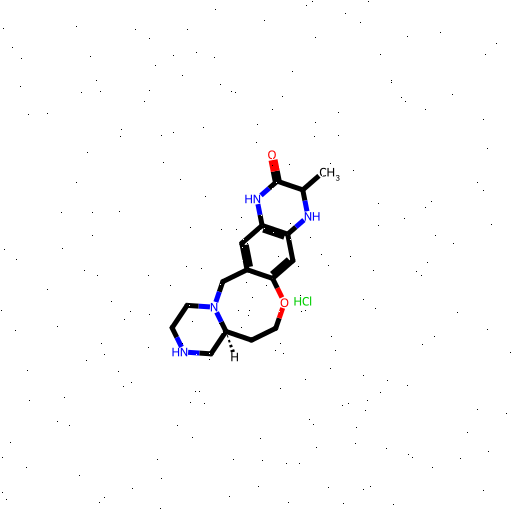 CC1Nc2cc3c(cc2NC1=O)CN1CCNC[C@@H]1CCO3.Cl